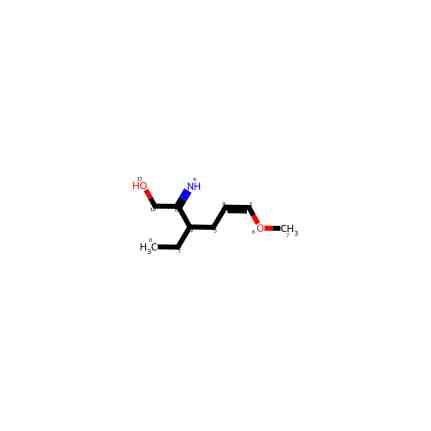 CCC(C/C=C\OC)C(=N)CO